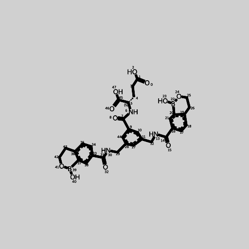 O=C(O)CC[C@H](NC(=O)c1cc(CNC(=O)c2ccc3c(c2)B(O)OCC3)cc(CNC(=O)c2ccc3c(c2)B(O)OCC3)c1)C(=O)O